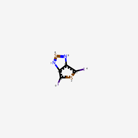 Ic1sc(I)c2c1N=S=N2